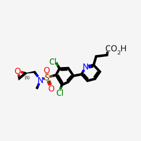 CN(C[C@H]1CO1)S(=O)(=O)c1c(Cl)cc(-c2cccc(CCC(=O)O)n2)cc1Cl